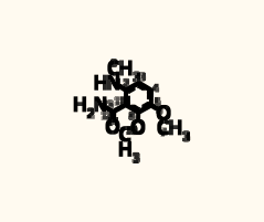 CNc1ccc(OC)c(OC)c1C(N)=O